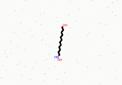 OCCCCCCCCCCCCNO